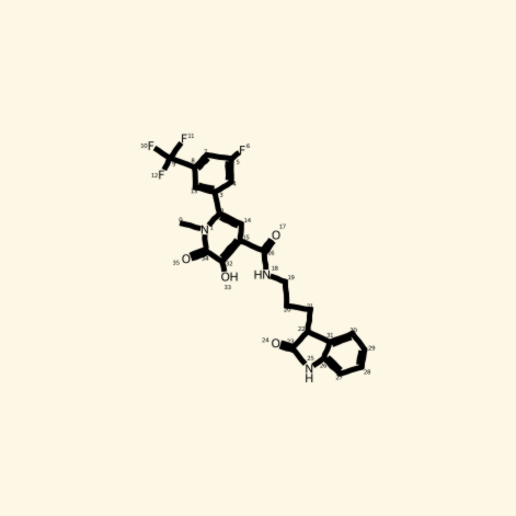 Cn1c(-c2cc(F)cc(C(F)(F)F)c2)cc(C(=O)NCCCC2C(=O)Nc3ccccc32)c(O)c1=O